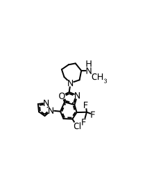 CNC1CCCCN(c2nc3c(C(F)(F)F)c(Cl)cc(-n4cccn4)c3o2)C1